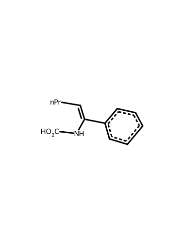 CCCC=C(NC(=O)O)c1ccccc1